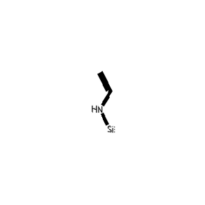 C=CN[Si]